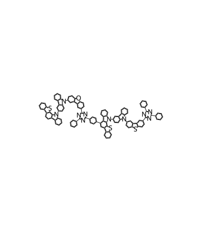 c1ccc(-c2nc(-c3ccc(-c4cc5c6ccccc6sc5c5c4c4ccccc4n5-c4ccc5c(c4)c4ccccc4n5-c4ccc5sc6ccc(-c7nc(-c8ccccc8)nc(-c8ccccc8)n7)cc6c5c4)cc3)nc(-c3ccc4oc5ccc(-n6c7ccccc7c7cc(-n8c9ccccc9c9ccc%10c%11ccccc%11sc%10c98)ccc76)cc5c4c3)n2)cc1